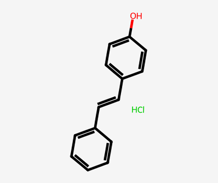 Cl.Oc1ccc(C=Cc2ccccc2)cc1